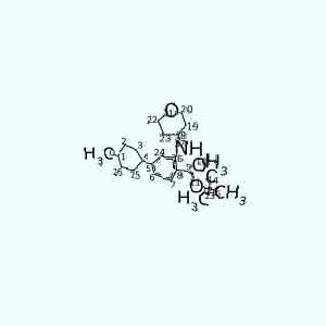 CC1CCC(c2ccc(C(=O)OC(C)(C)C)c(NC3CCOCC3)c2)CC1